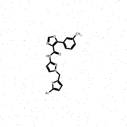 CC(=O)c1ccc(Cn2ccc(NC(=O)c3ncoc3-c3cccc(C)c3)n2)s1